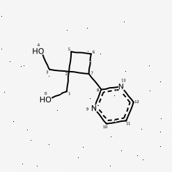 OCC1(CO)CCC1c1ncccn1